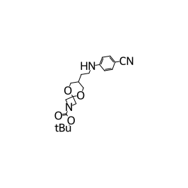 CC(C)(C)OC(=O)N1CC2(C1)OCC(CCNc1ccc(C#N)cc1)CO2